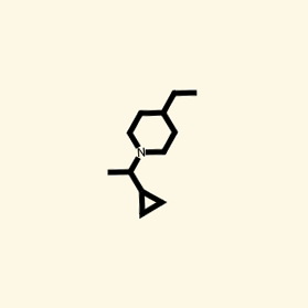 CCC1CCN(C(C)C2CC2)CC1